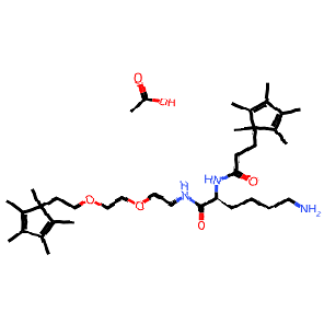 CC(=O)O.CC1=C(C)C(C)(CCOCCOCCNC(=O)[C@H](CCCCN)NC(=O)CCC2(C)C(C)=C(C)C(C)=C2C)C(C)=C1C